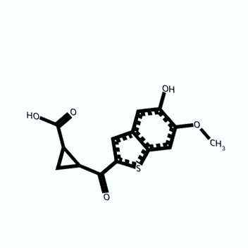 COc1cc2sc(C(=O)C3CC3C(=O)O)cc2cc1O